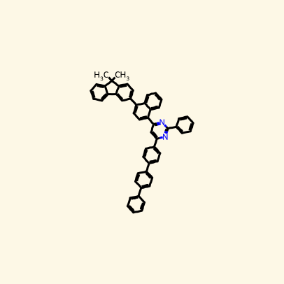 CC1(C)c2ccccc2-c2cc(-c3ccc(-c4cc(-c5ccc(-c6ccc(-c7ccccc7)cc6)cc5)nc(-c5ccccc5)n4)c4ccccc34)ccc21